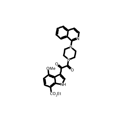 CCOC(=O)c1ccc(OC)c2c(C(=O)C(=O)N3CCN(c4nccc5ccccc45)CC3)c[nH]c12